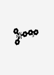 c1ccc(-c2nc(-c3ccccc3)nc(-c3ccc(-c4ccc5c(c4)sc4ccccc45)cc3)n2)cc1